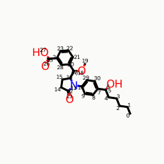 CCCCCC(O)c1ccc(N2C(=O)CCC2[C@H](OC)c2cccc(C(=O)O)c2)cc1